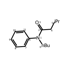 CCCCN(C(=O)CC(C)C)c1ccccc1